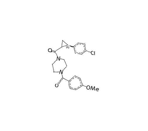 COc1ccc(C(=O)N2CCN(C(=O)C3C[C@H]3c3ccc(Cl)cc3)CC2)cc1